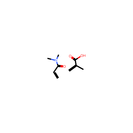 C=C(C)C(=O)O.C=CC(=O)N(C)C